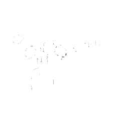 CN1CCN(c2cnc(C(=O)Nc3cc(-c4cccs4)ccc3NC(=O)OC(C)(C)C)nc2)CC1